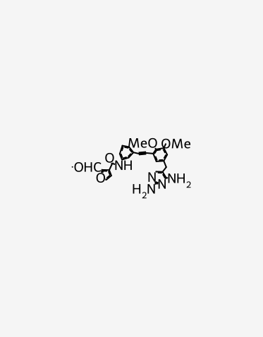 COc1cc(Cc2cnc(N)nc2N)cc(C#Cc2cccc(NC(=O)c3ccoc3[C]=O)c2)c1OC